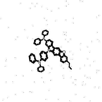 CCCc1ccc2c(c1)oc1cc3c4ccc(N(c5ccccc5)c5ccccc5)cc4n(-c4ccc(N(c5ccccc5)c5ccccc5)cc4)c3cc12